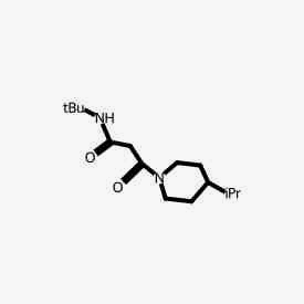 CC(C)C1CCN(C(=O)CC(=O)NC(C)(C)C)CC1